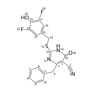 N#Cc1c(Cc2ccccc2)nc(SCc2cc(F)c(O)c(F)c2)[nH]c1=O